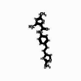 Cc1nc(C)c(C(=O)Nc2ccc(CCC3COC(N)=N3)cc2)o1